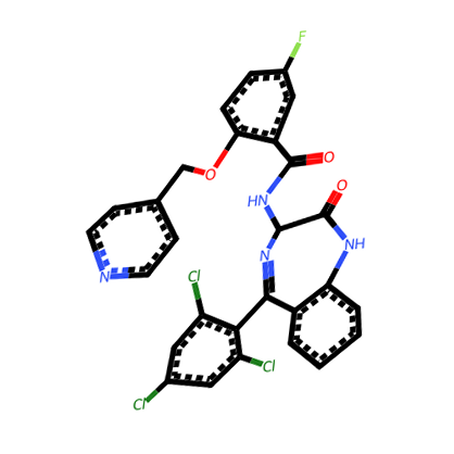 O=C(NC1N=C(c2c(Cl)cc(Cl)cc2Cl)c2ccccc2NC1=O)c1cc(F)ccc1OCc1ccncc1